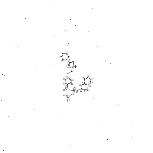 c1ccc(-c2nnc(CCc3ccc(C4CCNCC4OCc4ccc5ccccc5c4)cc3)o2)cc1